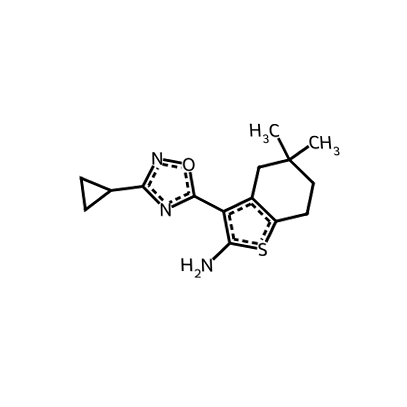 CC1(C)CCc2sc(N)c(-c3nc(C4CC4)no3)c2C1